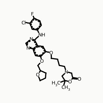 CC1(C)CN(CCCCOc2cc3c(Nc4ccc(F)c(Cl)c4)ncnc3cc2OCC2CCCO2)CC(=O)O1